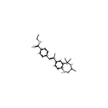 CCOC(=O)c1ccc(/C=C(\C)c2ccc3c(c2)C(C)(C)CC(C)CS3)cc1